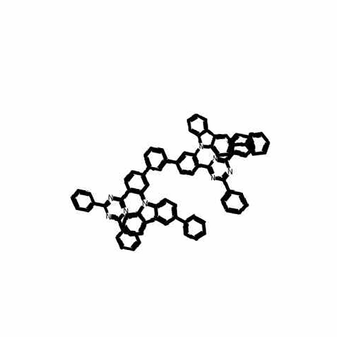 c1ccc(-c2ccc3c(c2)c2ccccc2n3-c2cc(-c3cccc(-c4ccc(-c5nc(-c6ccccc6)nc(-c6ccccc6)n5)c(-n5c6ccccc6c6cc(-c7ccccc7)ccc65)c4)c3)ccc2-c2nc(-c3ccccc3)nc(-c3ccccc3)n2)cc1